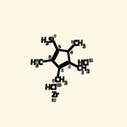 CC1=C(C)C(C)C([SiH3])=C1C.Cl.Cl.[Zr]